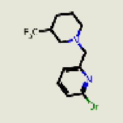 FC(F)(F)C1CCCN(Cc2cccc(Br)n2)C1